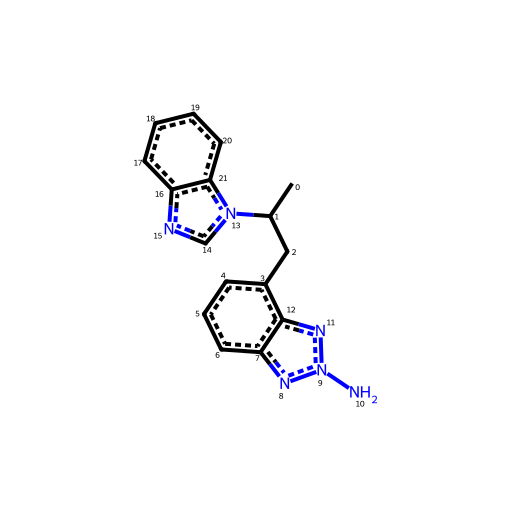 CC(Cc1cccc2nn(N)nc12)n1cnc2ccccc21